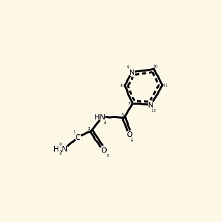 NCC(=O)NC(=O)c1cnccn1